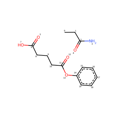 CCC(N)=O.O=C(O)CCCC(=O)Oc1ccccc1